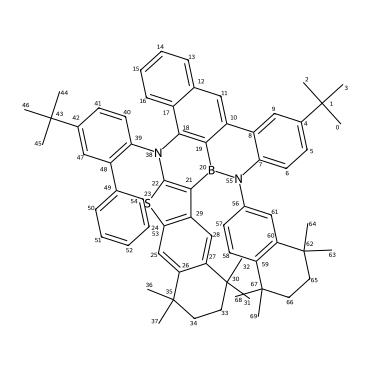 CC(C)(C)c1ccc2c(c1)-c1cc3ccccc3c3c1B(c1c(sc4cc5c(cc14)C(C)(C)CCC5(C)C)N3c1ccc(C(C)(C)C)cc1-c1ccccc1)N2c1ccc2c(c1)C(C)(C)CCC2(C)C